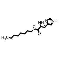 CCCCCCCCNC(=O)[C@@H](N)Cc1c[nH]cn1